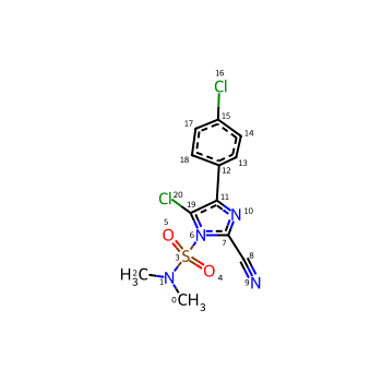 CN(C)S(=O)(=O)n1c(C#N)nc(-c2ccc(Cl)cc2)c1Cl